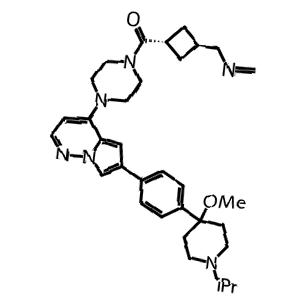 C=NC[C@H]1C[C@H](C(=O)N2CCN(c3ccnn4cc(-c5ccc(C6(OC)CCN(C(C)C)CC6)cc5)cc34)CC2)C1